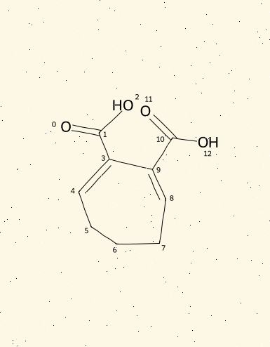 O=C(O)C1=CCCCC=C1C(=O)O